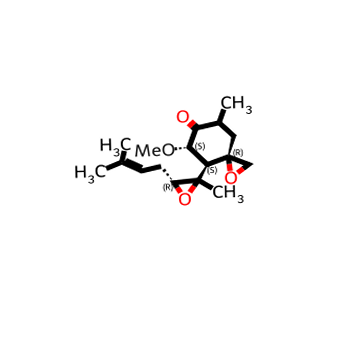 CO[C@@H]1C(=O)C(C)C[C@]2(CO2)[C@H]1C1(C)O[C@@H]1CC=C(C)C